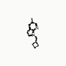 Cc1cnc2c(ccn2CC2CCC2)c1